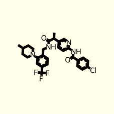 CC1CCN(c2cc(C(F)(F)F)ccc2CNC(=O)C(C)c2ccc(NC(=O)c3ccc(Cl)cc3)nc2)CC1